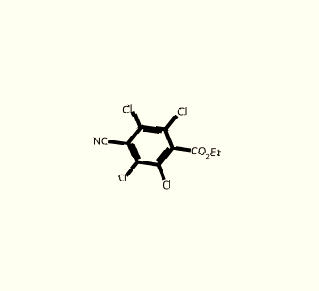 CCOC(=O)c1c(Cl)c(Cl)c(C#N)c(Cl)c1Cl